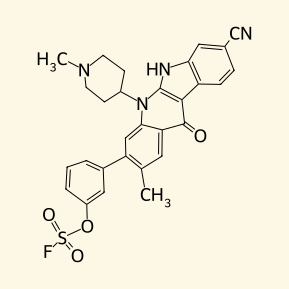 Cc1cc2c(=O)c3c4ccc(C#N)cc4[nH]c3n(C3CCN(C)CC3)c2cc1-c1cccc(OS(=O)(=O)F)c1